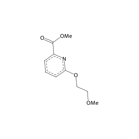 COCCOc1cccc(C(=O)OC)n1